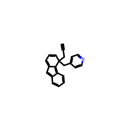 C#CCC1(Cc2ccncc2)C=CC=C2C=c3ccccc3=C21